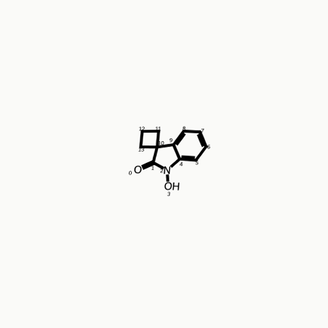 O=C1N(O)c2ccccc2C12CCC2